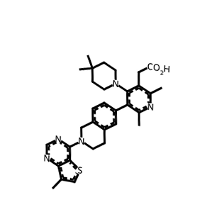 Cc1nc(C)c(-c2ccc3c(c2)CCN(c2ncnc4c(C)csc24)C3)c(N2CCC(C)(C)CC2)c1CC(=O)O